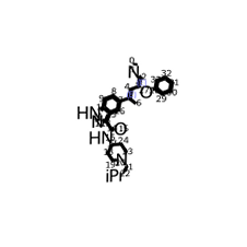 C=N/C=C(\C=C(/C)c1ccc2[nH]nc(C(=O)NC3CCN(CC(C)C)CC3)c2c1)Oc1ccccc1